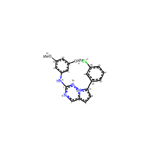 COc1cc(Nc2ncc3ccc(-c4cccc(Cl)c4)n3n2)cc(OC)c1